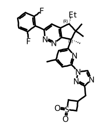 CC[C@H]1c2cc(-c3c(F)cccc3F)nnc2[C@](C)(c2cc(C)cc(-n3cnc(CC4CS(=O)(=O)C4)n3)n2)C1(C)C